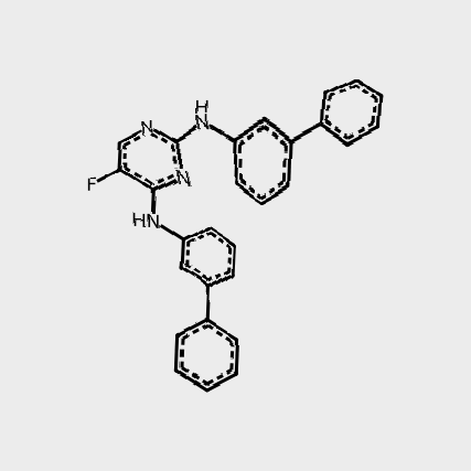 Fc1cnc(Nc2cccc(-c3ccccc3)c2)nc1Nc1cccc(-c2ccccc2)c1